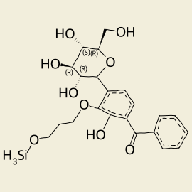 O=C(c1ccccc1)c1ccc(C2O[C@H](CO)[C@@H](O)[C@H](O)[C@H]2O)c(OCCCO[SiH3])c1O